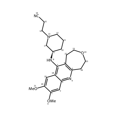 COc1cc2nc3c(c(N[C@@H]4CCCN(CCC#N)C4)c2cc1OC)CCOCC3